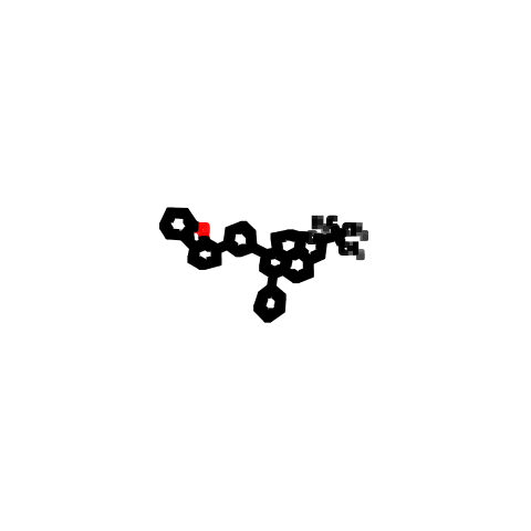 CC(C)(C)c1cc2ccc3c(-c4ccccc4)cc(-c4cccc(-c5cccc6c5oc5ccccc56)c4)c4ccc(c1)c2c34